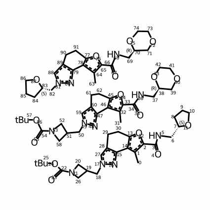 Cc1c(C(=O)NC[C@@H]2CCCO2)oc2c1-c1nn(CC3CN(C(=O)OC(C)(C)C)C3)cc1CC2.Cc1c(C(=O)NC[C@@H]2COCCO2)oc2c1-c1nn(CC3CN(C(=O)OC(C)(C)C)C3)cc1CC2.Cc1c(C(=O)NC[C@@H]2COCCO2)oc2c1-c1nn(C[C@@H]3CCCO3)cc1CC2